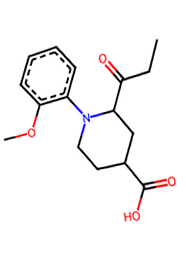 CCC(=O)C1CC(C(=O)O)CCN1c1ccccc1OC